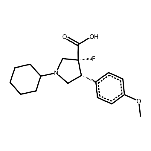 COc1ccc([C@@H]2CN(C3CCCCC3)C[C@@]2(F)C(=O)O)cc1